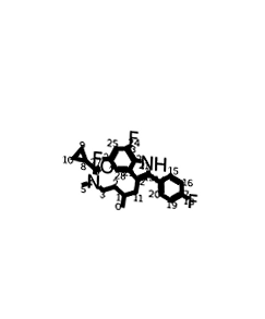 CC(CCN(C)C(=O)C1CC1)Cc1c(-c2ccc(F)cc2)[nH]c2c(F)cc(F)cc12